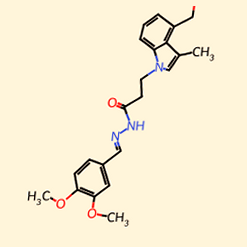 COc1ccc(C=NNC(=O)CCn2cc(C)c3c(CO)cccc32)cc1OC